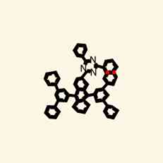 c1ccc(-c2cc(-c3ccccc3)cc(-c3c4ccccc4c(-c4cc(-c5ccccc5)cc(-c5ccccc5)c4)c4cc(-c5nc(-c6ccccc6)nc(-c6ccccc6)n5)ccc34)c2)cc1